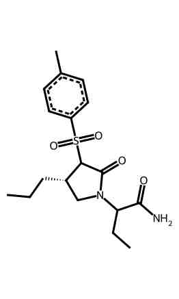 CCC[C@H]1CN(C(CC)C(N)=O)C(=O)C1S(=O)(=O)c1ccc(C)cc1